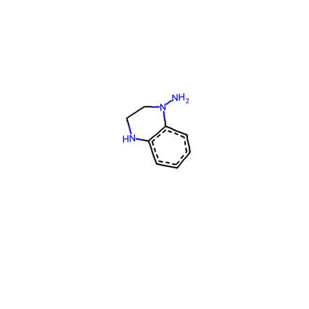 NN1CCNc2ccccc21